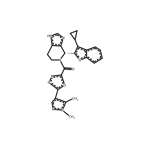 Cc1c(-c2nnc(C(=O)N3CCc4[nH]cnc4[C@@H]3c3oc4ccccc4c3C3CC3)o2)cnn1C